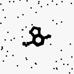 O=[N+]([O-])c1ccc(Br)c2c1OCO2